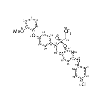 COc1ccccc1Oc1ccc(N(Cc2ccc(Oc3ccc(Cl)cc3)nc2)S(=O)(=O)CC(F)(F)F)cc1